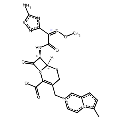 CO/N=C(\C(=O)N[C@@H]1C(=O)N2C(C(=O)[O-])=C(Cn3cc[n+]4c(CO)ccc-4c3)CS[C@H]12)c1nsc(N)n1